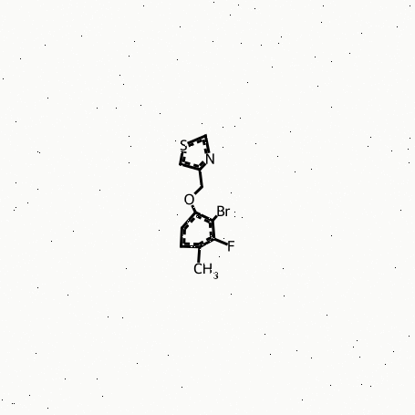 Cc1ccc(OCc2cscn2)c(Br)c1F